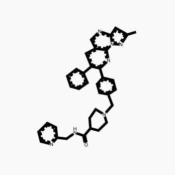 Cc1cc2ncc3cc(-c4ccccc4)c(-c4ccc(CN5CCC(C(=O)NCc6ccccn6)CC5)cc4)nc3n2n1